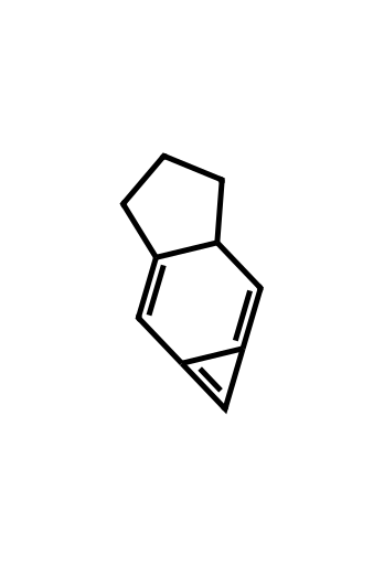 C1=C2C=C3CCCC3C=C12